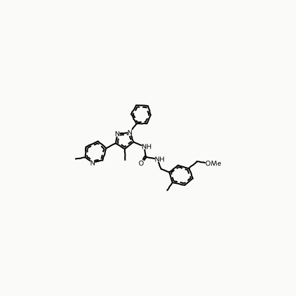 COCc1ccc(C)c(CNC(=O)Nc2c(C)c(-c3ccc(C)nc3)nn2-c2ccccc2)c1